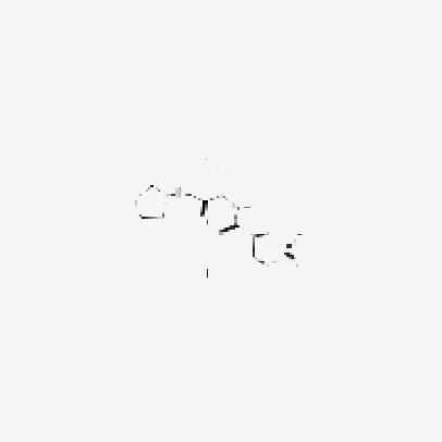 CC(C)C[C@H](NC(=O)[C@H]1OS(=O)(=O)O[C@@H]1C(=O)O)C(=O)NC1CCCC1